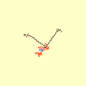 CCCCCCCCCCCCCCCC(=O)C(O)(C(=O)CCCCCCCCCCCCCCC)[C@H](CO)ONCCO[PH](=O)O